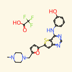 CN1CCN(Cc2ccc(-c3cc4ncnc(Nc5cccc(O)c5)c4s3)o2)CC1.O=C(O)C(F)(F)F